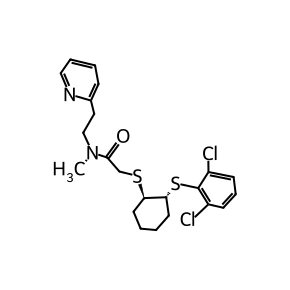 CN(CCc1ccccn1)C(=O)CS[C@@H]1CCCC[C@H]1Sc1c(Cl)cccc1Cl